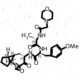 COc1ccc(C[C@H](NC(=O)[C@H](C)NC(=O)CN2CCOCC2)C(=O)N[C@@H](C[C@H]2[C@@H]3CCC[C@@H]32)C(=O)[C@@]2(C)CO2)cc1